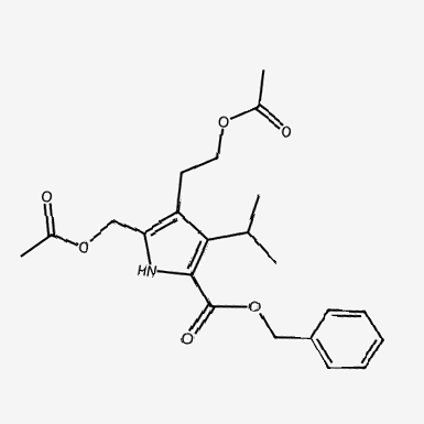 CC(=O)OCCc1c(COC(C)=O)[nH]c(C(=O)OCc2ccccc2)c1C(C)C